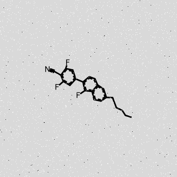 CCCCCc1ccc2c(F)c(-c3cc(F)c(C#N)c(F)c3)ccc2c1